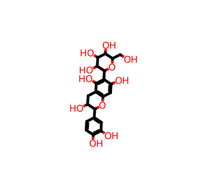 OCC1OC(c2c(O)cc3c(c2O)CC(O)C(c2ccc(O)c(O)c2)O3)C(O)C(O)C1O